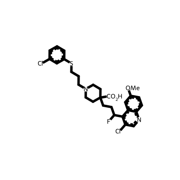 COc1ccc2ncc(Cl)c(C(F)CCC3(C(=O)O)CCN(CCCSc4cccc(Cl)c4)CC3)c2c1